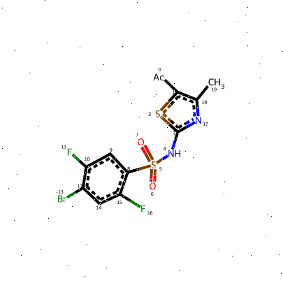 CC(=O)c1sc(NS(=O)(=O)c2cc(F)c(Br)cc2F)nc1C